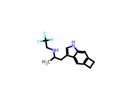 CC(Cc1c[nH]c2cc3c(cc12)CC3)NCC(F)(F)F